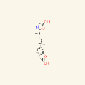 CC(C)(CCC(C)(C)c1ccc2c(c1)OB(O)C2)C1=NCB(O)O1